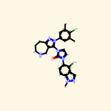 Cc1cc(-n2nc3c(c2-n2ccn(-c4ccc5c(cnn5C)c4F)c2=O)CNCCC3)cc(C)c1F